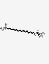 CCCC(CCC)C(=O)OCCCCCCCCCCCCCCCCNN